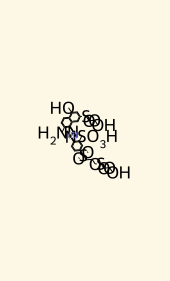 Nc1ccc2c(O)cc(SOOO)cc2c1/N=N/c1ccc(S(=O)(=O)CCOSOOO)cc1S(=O)(=O)O